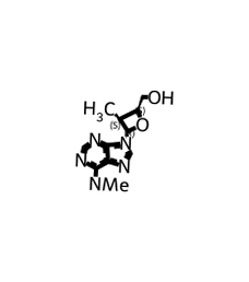 CNc1ncnc2c1ncn2[C@@H]1O[C@H](CO)[C@@H]1C